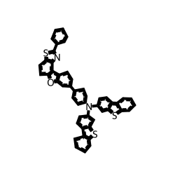 c1ccc(-c2nc3c(ccc4oc5cc(-c6ccc(N(c7ccc8c(c7)sc7ccccc78)c7ccc8c(c7)sc7ccccc78)cc6)ccc5c43)s2)cc1